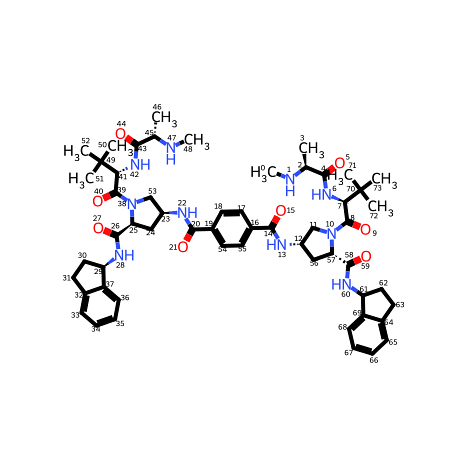 CN[C@@H](C)C(=O)N[C@H](C(=O)N1C[C@@H](NC(=O)c2ccc(C(=O)N[C@H]3C[C@@H](C(=O)N[C@@H]4CCc5ccccc54)N(C(=O)[C@@H](NC(=O)[C@H](C)NC)C(C)(C)C)C3)cc2)C[C@H]1C(=O)NC1CCc2ccccc21)C(C)(C)C